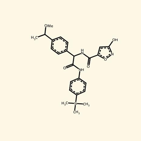 COC(C)c1ccc(C(NC(=O)c2cc(O)no2)C(=O)Nc2ccc([Si](C)(C)C)cc2)cc1